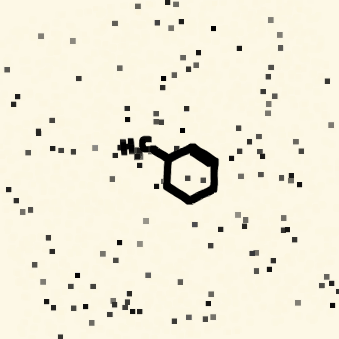 [CH2]C1C=CCCC1